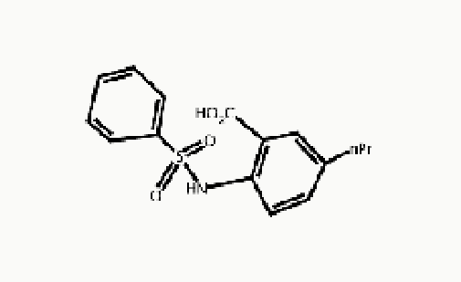 CCCc1ccc(NS(=O)(=O)c2ccccc2)c(C(=O)O)c1